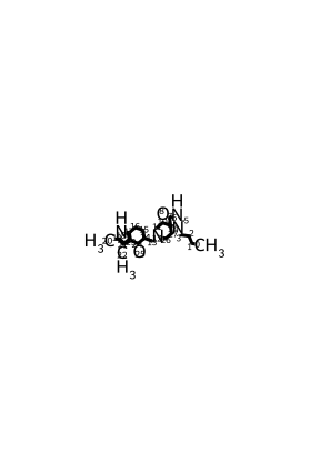 CCCCN1CNC(=O)C12CCN(CC1CCc3[nH]c(C)c(C)c3C1=O)CC2